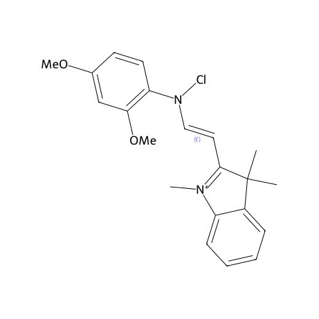 COc1ccc(N(Cl)/C=C/C2=[N+](C)c3ccccc3C2(C)C)c(OC)c1